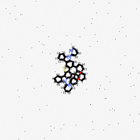 c1ccc(C2(c3ccccc3)c3ccccc3-c3cc4c(c5ccccc5n4-c4ccccn4)c4sc5c(c2cc2c5c5ccccc5n2-c2ccccn2)c34)cc1